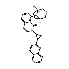 O=c1c2c(N3[C@@H]4CC[C@H]3COC4)cccc2ccn1C1CC1c1ccc2ccccc2n1